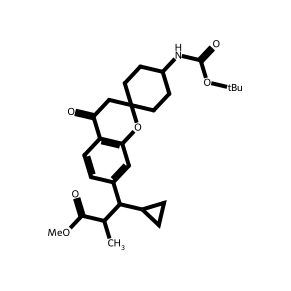 COC(=O)C(C)C(c1ccc2c(c1)OC1(CCC(NC(=O)OC(C)(C)C)CC1)CC2=O)C1CC1